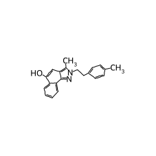 Cc1ccc(CCn2nc3c(cc(O)c4ccccc43)c2C)cc1